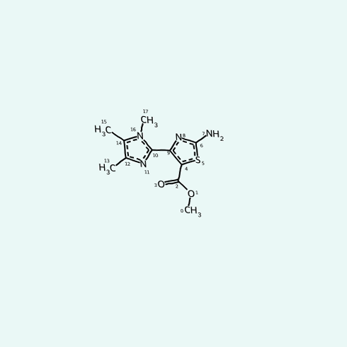 COC(=O)c1sc(N)nc1-c1nc(C)c(C)n1C